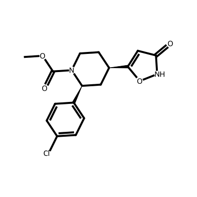 COC(=O)N1CC[C@@H](c2cc(=O)[nH]o2)C[C@H]1c1ccc(Cl)cc1